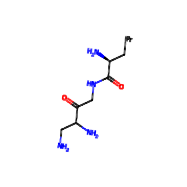 CC(C)C[C@H](N)C(=O)NCC(=O)C(N)CN